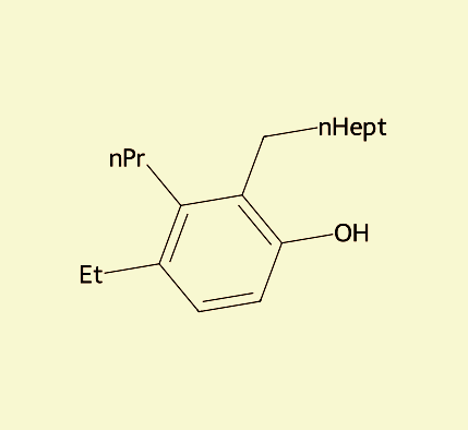 CCCCCCCCc1c(O)ccc(CC)c1CCC